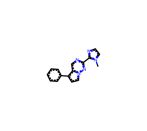 Cn1ccnc1-c1ncc2c(-c3ccccc3)ccn2n1